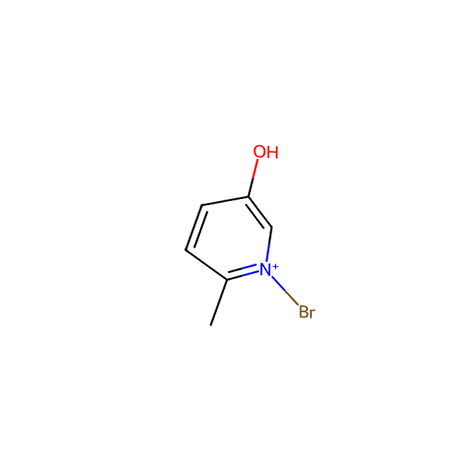 Cc1ccc(O)c[n+]1Br